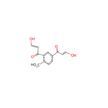 O=C(C=CO)c1ccc(C(=O)O)c(C(=O)C=CO)c1